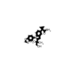 CC(C)(CO)c1cc2cc(C3(C(N)=O)CC3)ccc2n1-c1ccc2c(c1)OCO2